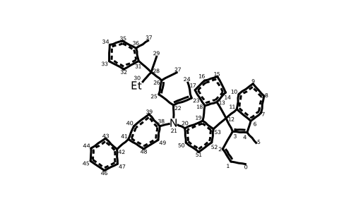 C/C=C\C1=C(C)c2ccccc2C12c1ccccc1-c1c(N(C(=C/C)/C=C(\C)C(C)(CC)c3ccccc3C)c3ccc(-c4ccccc4)cc3)cccc12